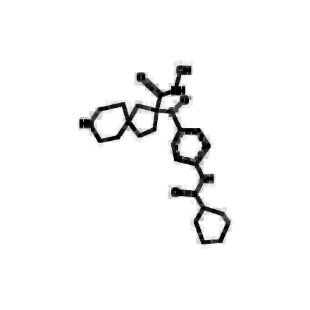 O=C(Nc1ccc([S+]([O-])C2(C(=O)NO)CCC3(CCNCC3)C2)cc1)C1CCCCC1